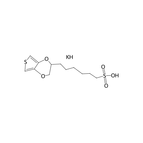 O=S(=O)(O)CCCCCCC1COc2cscc2O1.[KH]